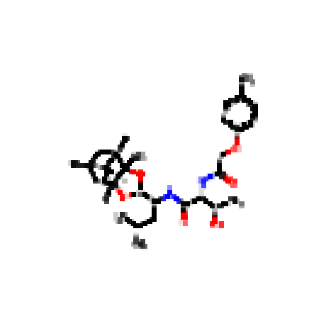 Cc1ccc(OCC(=O)N[C@H](C(=O)N[C@@H](CC(C)C)B2O[C@@H]3C[C@@H]4C[C@@H](C4(C)C)[C@]3(C)O2)[C@@H](C)O)cc1